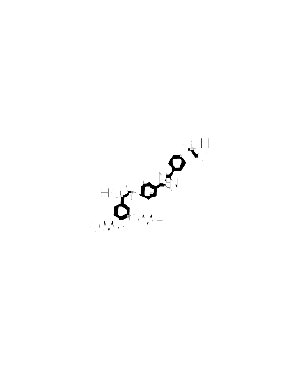 COc1ccc(C(O)C(C)Oc2ccc(-c3nc(-c4ccc(OC(C)CO)cc4)ns3)cc2)cc1OC